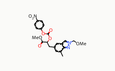 COCn1cc2cc(CC(OC(=O)Oc3ccc([N+](=O)[O-])cc3)C(=O)OC)cc(C)c2n1